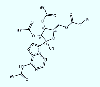 CC(C)OC(=O)OC[C@H]1O[C@@](C#N)(c2ccc3c(NC(=O)C(C)C)ncnn23)[C@H](OC(=O)C(C)C)[C@@H]1OC(=O)C(C)C